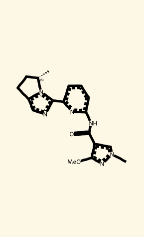 COc1nn(C)cc1C(=O)Nc1cccc(-c2ncc3n2[C@@H](C)CC3)n1